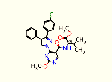 COC(=O)[C@@H](NC(=O)c1cnc(OC)nc1N1CC(c2ccccc2)C(c2ccc(Cl)cc2)=N1)C(C)C